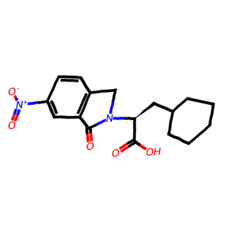 O=C(O)[C@H](CC1CCCCC1)N1Cc2ccc([N+](=O)[O-])cc2C1=O